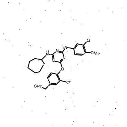 COc1ccc(Nc2nc(NC3CCCCCC3)nc(Oc3ccc(CC=O)cc3Cl)n2)cc1Cl